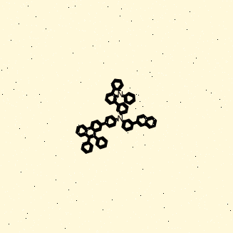 c1ccc(-c2c(-c3ccccc3)c3cc(-c4ccc(N(c5cccc(-c6ccc7ccccc7c6)c5)c5cccc(-c6cccc7c8ccccc8n(-c8ccccc8)c67)c5)cc4)ccc3c3ccccc23)cc1